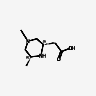 C[C@@H]1CN(C)C[C@H](CC(=O)O)N1